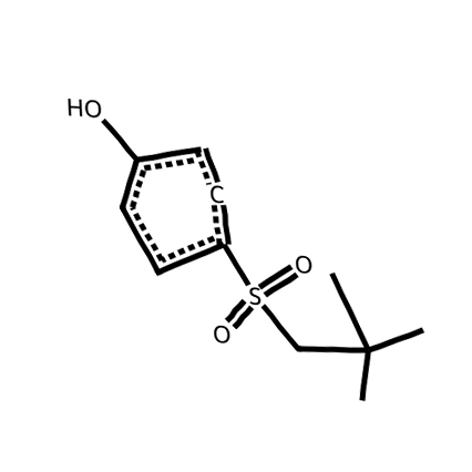 CC(C)(C)CS(=O)(=O)c1ccc(O)cc1